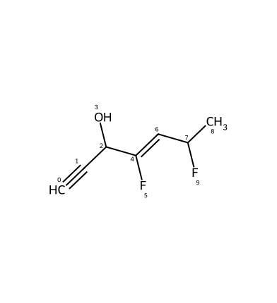 C#CC(O)/C(F)=C/C(C)F